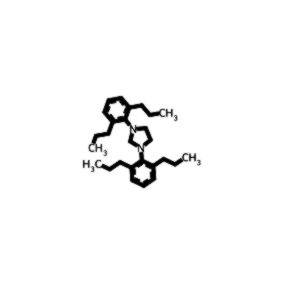 CCCc1cccc(CCC)c1N1CCN(c2c(CCC)cccc2CCC)C1